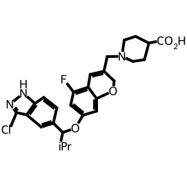 CC(C)C(Oc1cc(F)c2c(c1)OCC(CN1CCC(C(=O)O)CC1)=C2)c1ccc2[nH]nc(Cl)c2c1